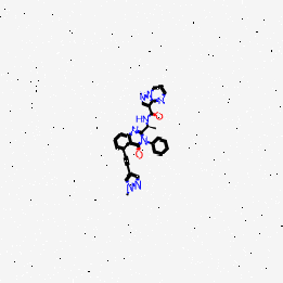 C[C@H](NC(=O)c1cnn2cccnc12)c1nc2cccc(C#Cc3cnn(C)c3)c2c(=O)n1-c1ccccc1